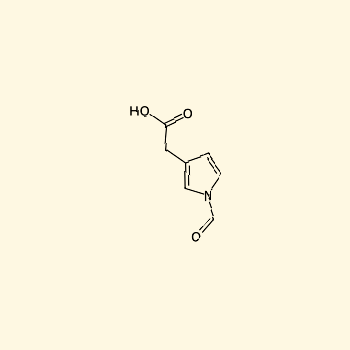 O=Cn1ccc(CC(=O)O)c1